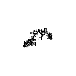 Cc1ccc(C(=O)Nc2ccc(CN3CCN(C)CC3)c(F)c2)cc1C#Cc1cnc(Nc2cn(C)nc2C)nc1